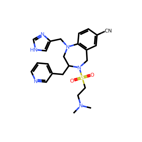 CN(C)CCS(=O)(=O)N1Cc2cc(C#N)ccc2N(Cc2c[nH]cn2)CC1Cc1cccnc1